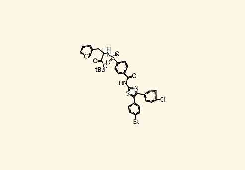 CCc1ccc(-c2sc(NC(=O)c3ccc(S(=O)(=O)NC(Cc4ccccc4)C(=O)OC(C)(C)C)cc3)nc2-c2ccc(Cl)cc2)cc1